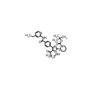 CCc1ccnc(NC(=O)c2ccc(-c3nc([C@@H]4CCCCN4C(=O)OC(C)(C)C)n(NC)c3C(N)=O)cc2)c1